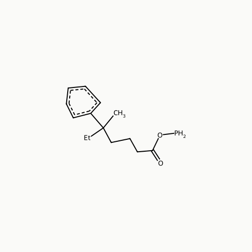 CCC(C)(CCCC(=O)OP)c1ccccc1